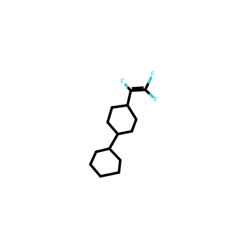 FC(F)=C(F)C1CCC(C2CCCCC2)CC1